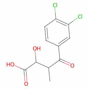 CC(C(=O)c1ccc(Cl)c(Cl)c1)C(O)C(=O)O